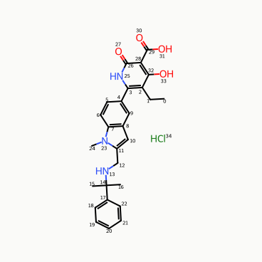 CCc1c(-c2ccc3c(c2)cc(CNC(C)(C)c2ccccc2)n3C)[nH]c(=O)c(C(=O)O)c1O.Cl